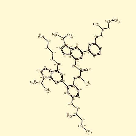 CNCC(O)COc1cccc(-c2cc(NC(=O)N(C)Cc3ccc(OCC(O)CNC)cc3-c3cc(NCCCCN)c4cnn(C(C)C)c4n3)c3cnn(C(C)C)c3n2)c1